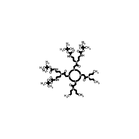 CCCN(CCC)C(=O)CN1CCN(CC(=O)N(CCC)CCC)CCN(CC(=O)N(CCNC(=O)OC(C)(C)C)CCNC(=O)OC(C)(C)C)CCN(CC(=O)N(CCNC(=O)OC(C)(C)C)CCNC(=O)OC(C)(C)C)CC1